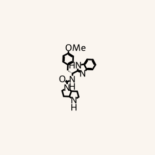 COc1ccc(C[C@@H](NC(=O)N2CCC3NCCC32)c2nc3ccccc3[nH]2)cc1